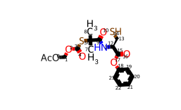 CC(=O)OCOC(=O)SC(C)(C)C(=O)N[C@@H](CS)C(=O)Oc1ccccc1